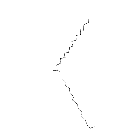 CCCCCCCCCCCCCCCCC[C](C)CCCCCCCCCCCCCCC(C)C